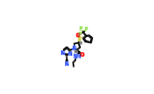 CCCNC(=O)[C@@H]1C[C@H]([S+]([O-])c2ccccc2C(F)(F)F)CN1c1ccnc(C#N)n1